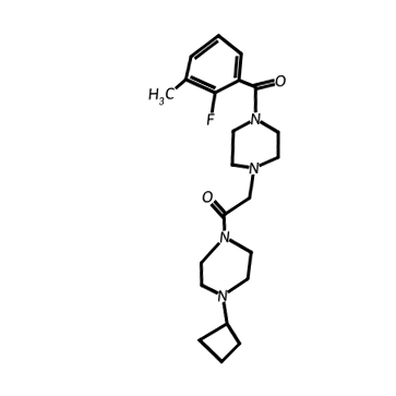 Cc1cccc(C(=O)N2CCN(CC(=O)N3CCN(C4CCC4)CC3)CC2)c1F